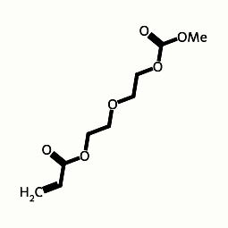 C=CC(=O)OCCOCCOC(=O)OC